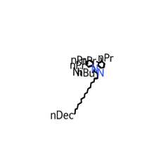 CCCCCCCCCCCCCCCCCCCCCCCC=CC(=Nc1ccc(CCC)c(CCC)c1)C(CCCC)=Nc1ccc(CCC)c(CCC)c1.[Ni]